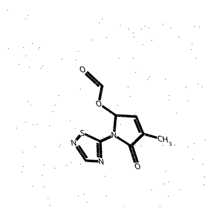 CC1=CC(OC=O)N(c2ncns2)C1=O